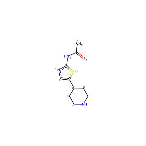 CC(=O)Nc1ncc(C2CCNCC2)s1